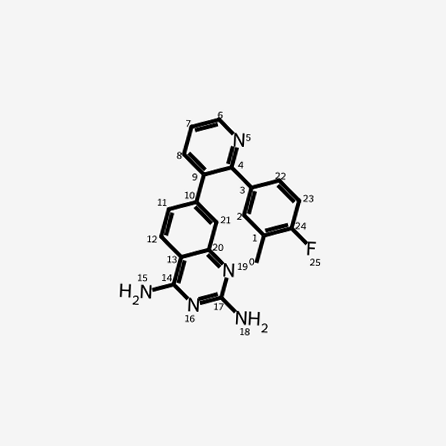 Cc1cc(-c2ncccc2-c2ccc3c(N)nc(N)nc3c2)ccc1F